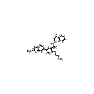 CCCOc1ncc(-c2ccn3nc(N)nc3c2)cc1C(=O)NCCC(C)c1ccccc1